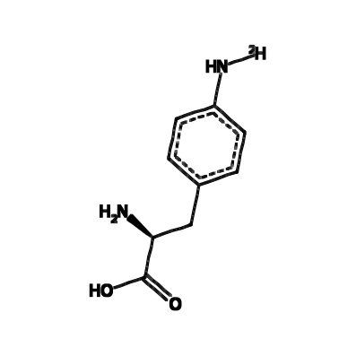 [2H]Nc1ccc(C[C@H](N)C(=O)O)cc1